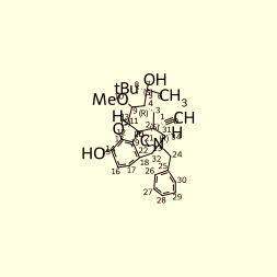 C#C[C@@]12C[C@@H]([C@](C)(O)C(C)(C)C)C(OC)[C@H]3Oc4c(O)ccc5c4[C@]31CCN(Cc1ccccc1)[C@@H]2C5